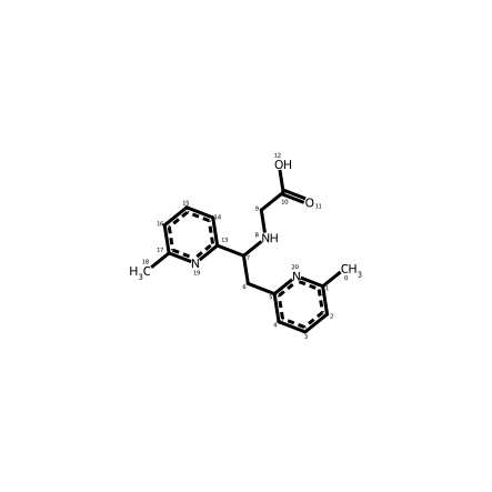 Cc1cccc(CC(NCC(=O)O)c2cccc(C)n2)n1